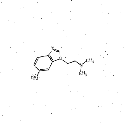 CN(C)CCn1cnc2ccc(C(C)(C)C)cc21